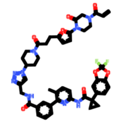 C=CC(=O)N1CCN(c2ccc(CCC(=O)N3CCC(n4cc(CNC(=O)c5cccc(-c6nc(NC(=O)C7(c8ccc9c(c8)OC(F)(F)O9)CC7)ccc6C)c5)nn4)CC3)o2)C(=O)C1